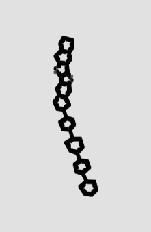 c1ccc(-c2ccc(-c3ccc(-c4ccc(-c5ccc6cc7c(cc6c5)sc5c6cc8ccccc8cc6sc75)cc4)cc3)cc2)cc1